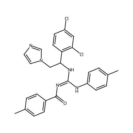 Cc1ccc(N/C(=N\C(=O)c2ccc(C)cc2)NC(Cn2ccnc2)c2ccc(Cl)cc2Cl)cc1